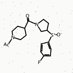 CC(=O)N1CCC(C(=O)N2CCC([S+]([O-])c3ccc(F)cc3)C2)CC1